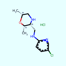 C[C@@H]1CN[C@H](CNc2ccc(Cl)cn2)[C@H](C)O1.Cl